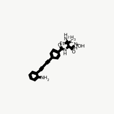 CCC(C)(N)C(NC(=O)c1ccc(C#CC#Cc2ccccc2N)cc1)C(=O)NO